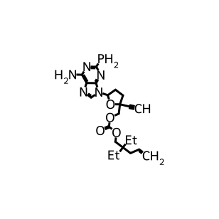 C#CC1(COC(=O)OCC(CC)(CC)CC=C)CCC(n2cnc3c(N)nc(P)nc32)O1